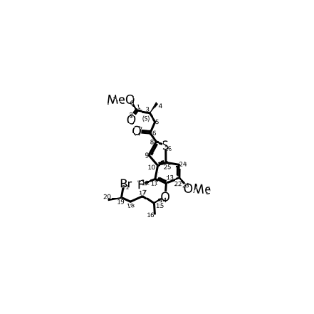 COC(=O)[C@@H](C)CC(=O)c1cc2c(F)c(OC(C)CCC(C)Br)c(OC)cc2s1